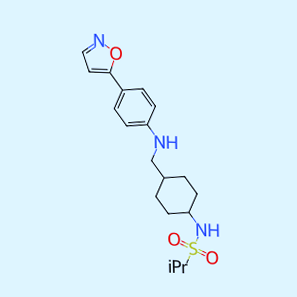 CC(C)S(=O)(=O)NC1CCC(CNc2ccc(-c3ccno3)cc2)CC1